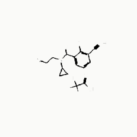 C#Cc1cccc(C(C)N(CCN)C2CC2)c1F.O=C(O)C(F)(F)F